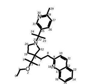 CCOC(C)(C)C1(CCc2ccc3ccccc3n2)CCN(C(C)(C)c2ccc(C)nc2)C1